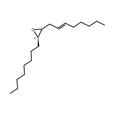 CCCCCC=CCC1O[C@@H]1CCCCCCCC